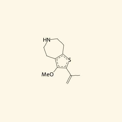 C=C(C)c1sc2c(c1OC)CCNCC2